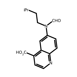 CC(C)CCN(C=O)c1ccc2nccc(C(=O)O)c2c1